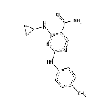 Cc1ccc(Nc2ncc(C(N)=O)c(NC3CC3)n2)cc1